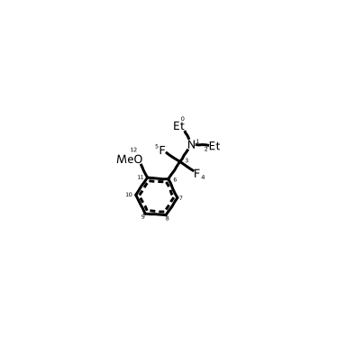 CCN(CC)C(F)(F)c1ccccc1OC